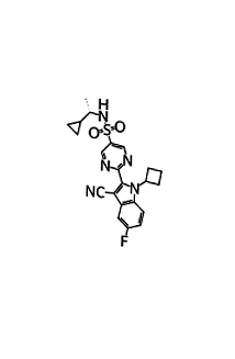 C[C@H](NS(=O)(=O)c1cnc(-c2c(C#N)c3cc(F)ccc3n2C2CCC2)nc1)C1CC1